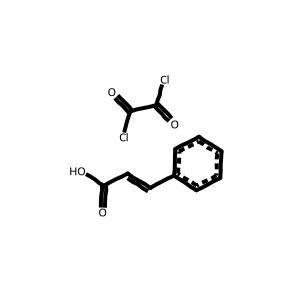 O=C(Cl)C(=O)Cl.O=C(O)/C=C/c1ccccc1